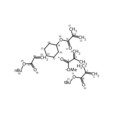 C=C(C)C(=O)OC.C=C(C)C(=O)OC(C)(C)C.C=C(C)C(=O)OC1CCCCC1.C=CC(=O)OCCCC